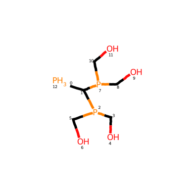 CC(P(CO)CO)P(CO)CO.P